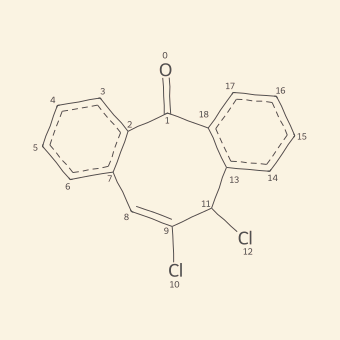 O=C1c2ccccc2C=C(Cl)C(Cl)c2ccccc21